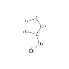 CCOC1OCCO1